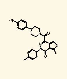 Cc1ccc(-n2nc(C(=O)N3CCN(c4ccc([18F])nc4)CC3)c3csc(C)c3c2=O)cc1